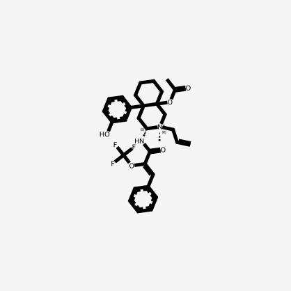 C=CC[N@+]1(C)CC2(OC(C)=O)CCCCC2(c2cccc(O)c2)C[C@H]1NC(=O)C(=Cc1ccccc1)OC(F)(F)F